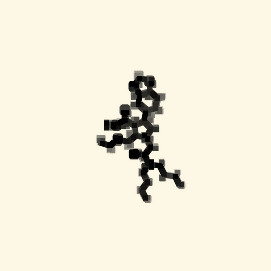 CCCCN(CCCC)C(=O)CN1CC(c2ccc3c(c2)OCO3)C(C(=O)O)C1COCC